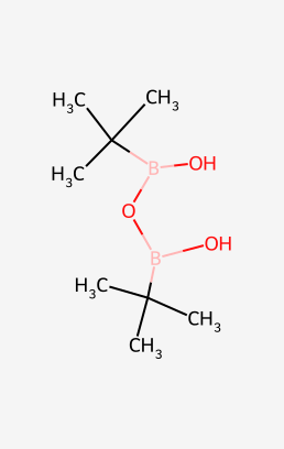 CC(C)(C)B(O)OB(O)C(C)(C)C